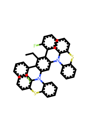 CCc1c(-c2ccccc2F)c(N2c3ccccc3Sc3ccccc32)cc(N2c3ccccc3Sc3ccccc32)c1-c1ccccc1F